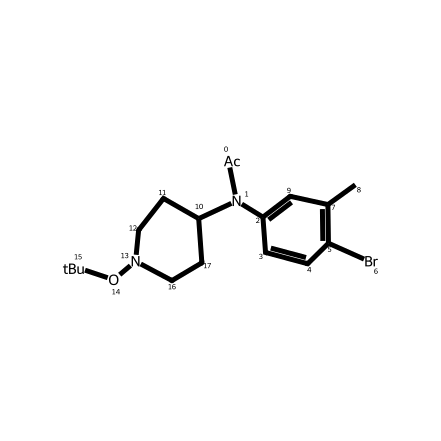 CC(=O)N(c1ccc(Br)c(C)c1)C1CCN(OC(C)(C)C)CC1